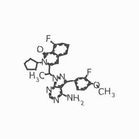 COc1ccc(-c2nn(C(C)c3cc4cccc(F)c4c(=O)n3C3CCCC3)c3ncnc(N)c23)cc1F